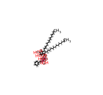 CCCCCCCCCCCCCCCC(=O)C(OOP(=O)(O)OP(=O)(O)OCc1ccccc1)(C(=O)CCCCCCCCCCCCCCC)C(O)CO